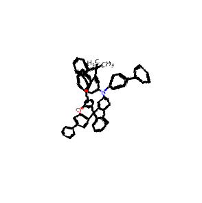 CC1(C)c2ccccc2-c2ccc(N(c3ccc(-c4ccccc4)cc3)c3ccc4c(c3)C3(c5ccc(-c6ccccc6)cc5Oc5cc(-c6ccccc6)ccc53)c3ccccc3-4)cc21